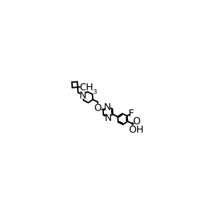 CC1(CN2CCC(COc3cnc(-c4ccc(C(=O)O)c(F)c4)cn3)CC2)CCC1